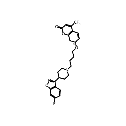 O=c1cc(C(F)(F)F)c2c(o1)C[C@H](OCCCCN1CCC(c3noc4cc(F)ccc34)CC1)C=C2